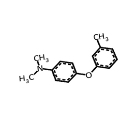 Cc1cccc(Oc2ccc(N(C)C)cc2)c1